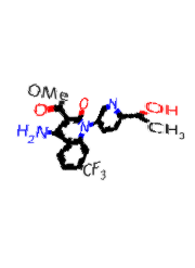 COC(=O)c1c(N)c2ccc(C(F)(F)F)cc2n(-c2ccc(C(C)O)nc2)c1=O